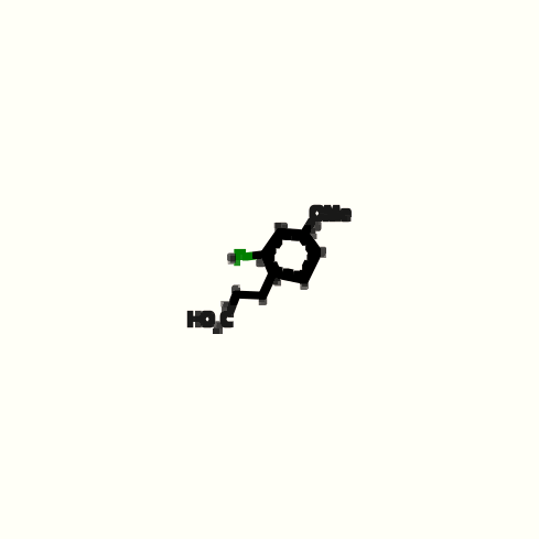 COc1ccc(CCC(=O)O)c(F)c1